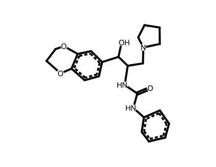 O=C(Nc1ccccc1)NC(CN1CCCC1)C(O)c1ccc2c(c1)OCCO2